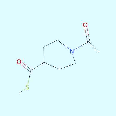 CSC(=O)C1CCN(C(C)=O)CC1